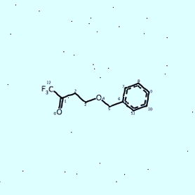 O=C(CCOCc1ccccc1)C(F)(F)F